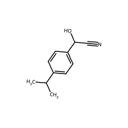 CC(C)c1ccc(C(O)C#N)cc1